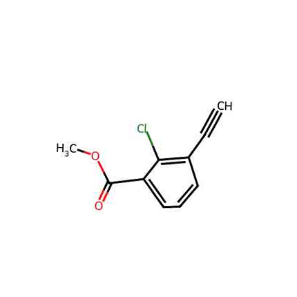 C#Cc1cccc(C(=O)OC)c1Cl